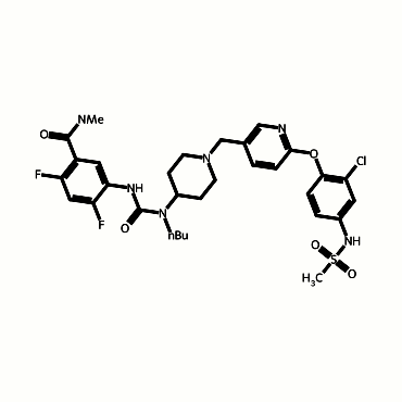 CCCCN(C(=O)Nc1cc(C(=O)NC)c(F)cc1F)C1CCN(Cc2ccc(Oc3ccc(NS(C)(=O)=O)cc3Cl)nc2)CC1